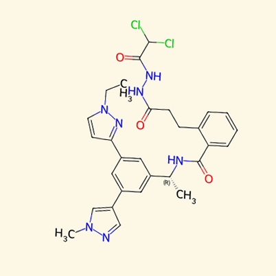 CCn1ccc(-c2cc(-c3cnn(C)c3)cc([C@@H](C)NC(=O)c3ccccc3CCC(=O)NNC(=O)C(Cl)Cl)c2)n1